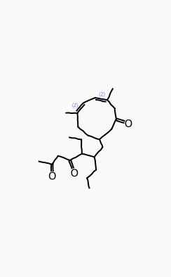 CCCC(CC1CC/C(C)=C\C=C(\C)CC(=O)C1)C(CC)C(=O)CC(C)=O